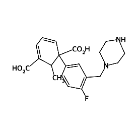 CC1C(C(=O)O)=CC=CC1(C(=O)O)c1ccc(F)c(CN2CCNCC2)c1